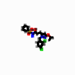 CC(C)Oc1cc(CCC(=O)NS(=O)(=O)c2ccccc2)n(Cc2ccc(Cl)cc2Cl)n1